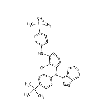 CC(C)(C)c1ccc(Nc2cccc(N(c3ccc(C(C)(C)C)cc3)c3csc4ccccc34)c2Cl)cc1